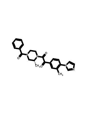 Cc1cc(C(=O)C(=O)N2CCN(C(=O)c3ccccc3)C[C@H]2C)ccc1-n1ccnc1